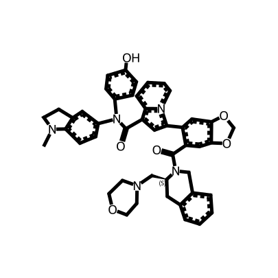 CN1CCc2cc(N(C(=O)c3cc(-c4cc5c(cc4C(=O)N4Cc6ccccc6C[C@H]4CN4CCOCC4)OCO5)n4ccccc34)c3ccc(O)cc3)ccc21